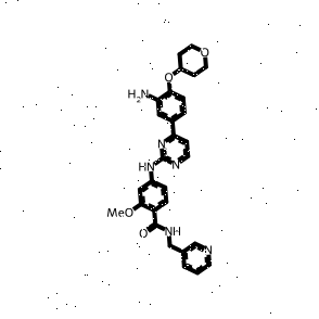 COc1cc(Nc2nccc(-c3ccc(OC4CCOCC4)c(N)c3)n2)ccc1C(=O)NCc1cccnc1